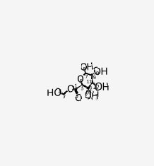 O=C(OCO)[C@H]1O[C@@H](O)[C@H](O)[C@@H](O)[C@@H]1O